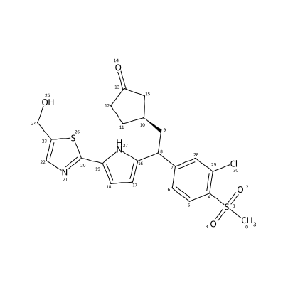 CS(=O)(=O)c1ccc(C(C[C@H]2CCC(=O)C2)c2ccc(-c3ncc(CO)s3)[nH]2)cc1Cl